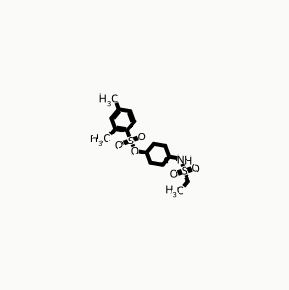 CCS(=O)(=O)NC1CCC(OS(=O)(=O)c2ccc(C)cc2C)CC1